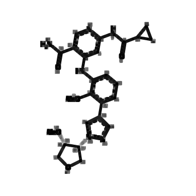 COc1c(Nc2cc(NC(=O)C3CC3)ncc2C(N)=O)cccc1-c1cnn([C@@H]2COC[C@@H]2OC)c1